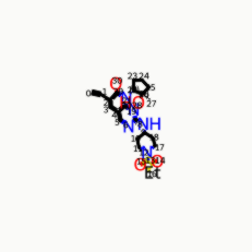 C#Cc1cc2cnc(NC3CCN(S(=O)(=O)CC)CC3)nc2n([C@@H]2CCC[C@@]2(C)O)c1=O